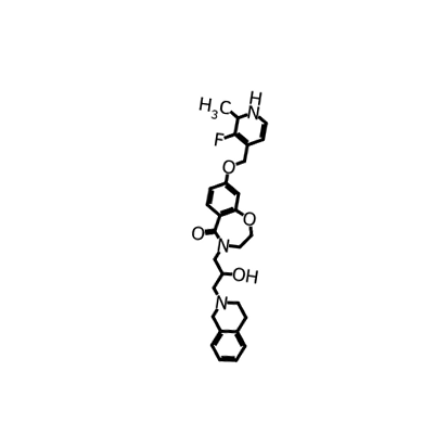 CC1NC=CC(COc2ccc3c(c2)OCCN(CC(O)CN2CCc4ccccc4C2)C3=O)=C1F